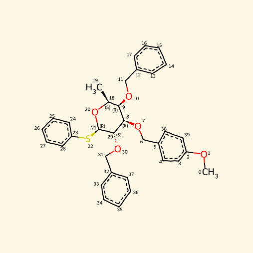 COc1ccc(CO[C@@H]2[C@H](OCc3ccccc3)[C@H](C)O[C@H](Sc3ccccc3)[C@H]2OCc2ccccc2)cc1